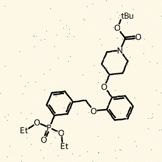 CCOP(=O)(OCC)c1cccc(COc2ccccc2OC2CCN(C(=O)OC(C)(C)C)CC2)c1